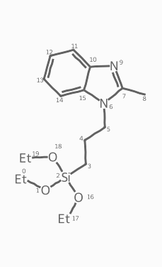 CCO[Si](CCCn1c(C)nc2ccccc21)(OCC)OCC